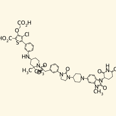 Cn1c(=O)n(C2CCC(=O)NC2=O)c2ccc(N3CCC(N4CCN(c5cccc(CS(=O)(=O)N6CC[C@H](Nc7cccc(-c8sc(C(=O)O)c(OCC(=O)O)c8Cl)c7)CC6(C)C)c5)C4=O)CC3)cc21